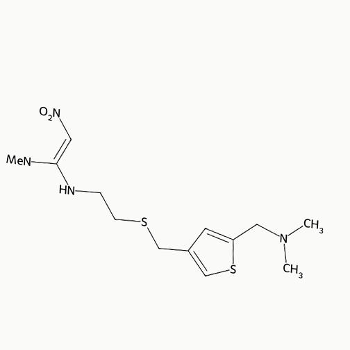 CNC(=C[N+](=O)[O-])NCCSCc1csc(CN(C)C)c1